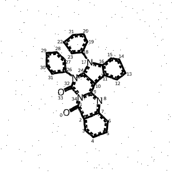 O=c1c2ccccc2nc2c3c4ccccc4n(-c4ccccc4)c3n(-c3ccccc3)c(=O)n12